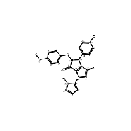 COc1ccc(CN2C(=O)c3c(c(C)nn3-c3ccnn3C)C2c2ccc(Cl)cc2)cc1